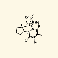 CC(=O)c1c(C)c2cnc([S+](C)[O-])nc2n(C2CCCC2(C)CC(=O)O)c1=O